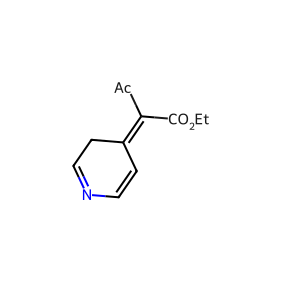 CCOC(=O)C(C(C)=O)=C1C=CN=CC1